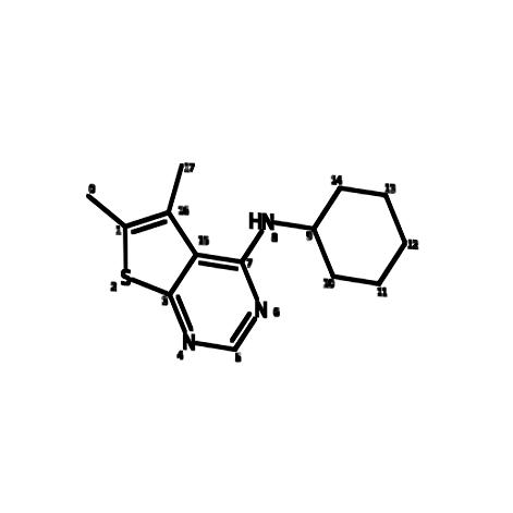 Cc1sc2ncnc(NC3CCCCC3)c2c1C